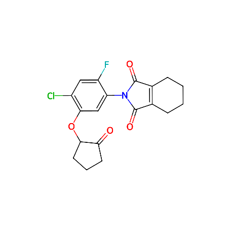 O=C1CCCC1Oc1cc(N2C(=O)C3=C(CCCC3)C2=O)c(F)cc1Cl